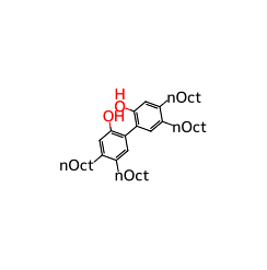 CCCCCCCCc1cc(O)c(-c2cc(CCCCCCCC)c(CCCCCCCC)cc2O)cc1CCCCCCCC